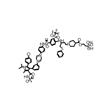 Cc1c(C(=O)NS(C)(=O)=O)c(-c2cccc(N3CCN(c4ccc(NS(=O)(=O)c5ccc(NC(CCN6CCC(C(=O)OCCP(=O)(O)O)CC6)CSc6ccccc6)c(S(=O)(=O)C(F)(F)F)c5)cc4)CC3)c2)c(-c2ccc(Cl)cc2)n1C(C)C